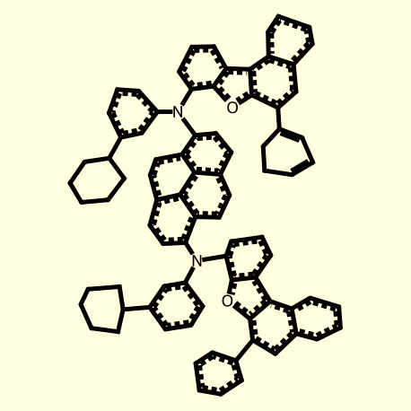 C1=CCCC(c2cc3ccccc3c3c2oc2c(N(c4cccc(C5CCCCC5)c4)c4ccc5ccc6c(N(c7cccc(C8CCCCC8)c7)c7cccc8c7oc7c(-c9ccccc9)cc9ccccc9c78)ccc7ccc4c5c76)cccc23)=C1